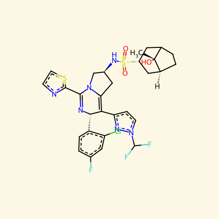 C[C@@]1(O)C2CC[C@H]1C[C@H](S(=O)(=O)N[C@H]1CC3=C(c4ccn(C(F)F)n4)[C@H](c4ccc(F)cc4Cl)N=C(c4nccs4)N3C1)C2